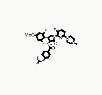 COc1cc(F)c([C@@H]2CN(c3nc(N4CCN(C)CC4)ccc3F)C(=O)C2NC(=O)c2ccc(OC(F)F)cc2)c(F)c1